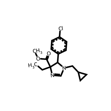 CCC1(C(=O)OC)N=CN(CC2CC2)C1c1ccc(Cl)cc1